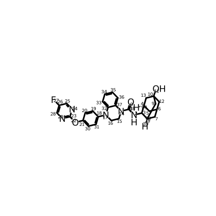 O=C(NC1[C@@H]2CC3C[C@H]1CC(O)(C3)C2)N1CCN(c2ccc(Oc3ncc(F)cn3)cc2)c2ccccc21